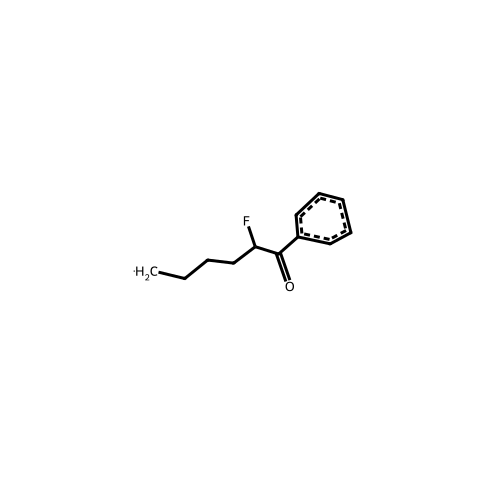 [CH2]CCCC(F)C(=O)c1ccccc1